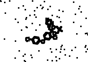 CC1(C)COC(Cn2cncn2)(c2ccc(Oc3ccc(Cl)cc3)cc2Cl)OC1